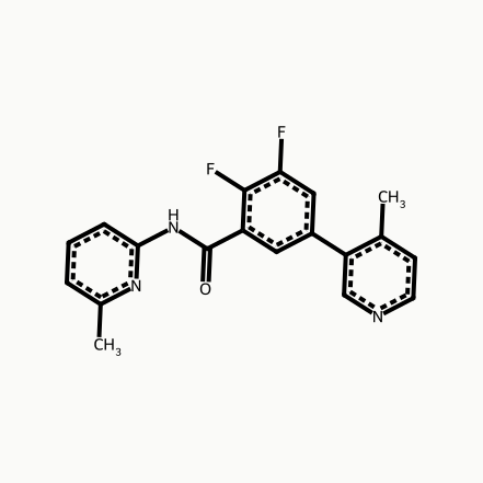 Cc1cccc(NC(=O)c2cc(-c3cnccc3C)cc(F)c2F)n1